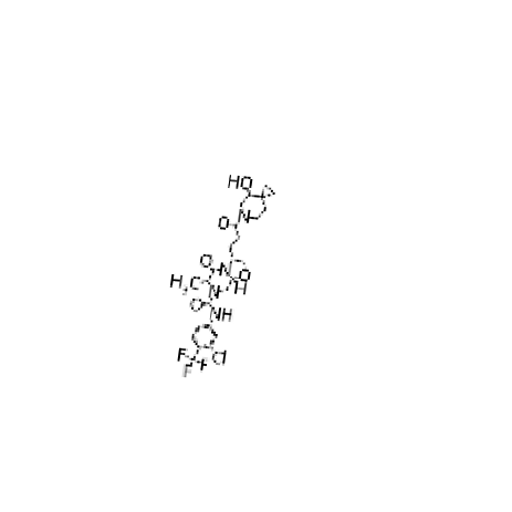 C[C@H]1C(=O)N2[C@@H](CCC(=O)N3CCC4(CC4)[C@H](O)C3)CO[C@@H]2CN1C(=O)Nc1ccc(C(F)(F)F)c(Cl)c1